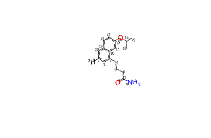 [2H]c1cc(CCCC(N)=O)c2cc(OC(C)C)ccc2c1